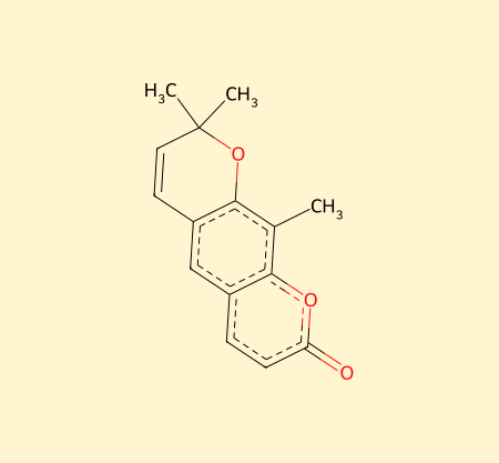 Cc1c2c(cc3ccc(=O)oc13)C=CC(C)(C)O2